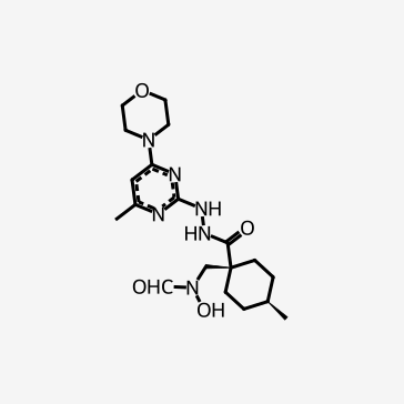 Cc1cc(N2CCOCC2)nc(NNC(=O)[C@]2(CN(O)C=O)CC[C@@H](C)CC2)n1